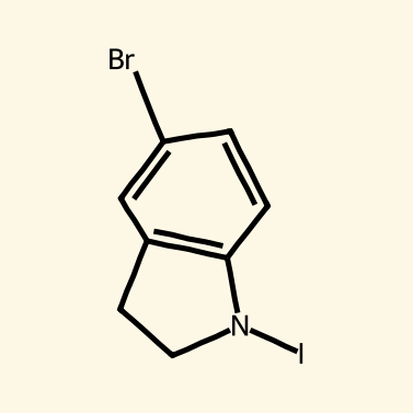 Brc1ccc2c(c1)CCN2I